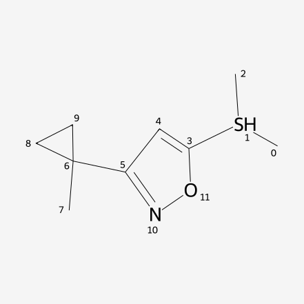 C[SH](C)c1cc(C2(C)CC2)no1